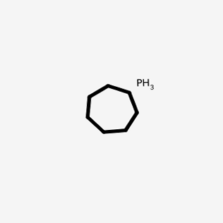 C1CCCCCC1.P